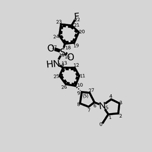 CC1CCCN1C1CC[C@H](c2ccc(NS(=O)(=O)c3ccc(F)cc3)cc2)C1